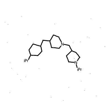 CC(C)C1CCC(CC2CCN(CC3CCN(C(C)C)CC3)CC2)CC1